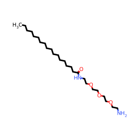 CCCCCCCCCCCCCCCCCC(=O)NCCOCCOCCOCCN